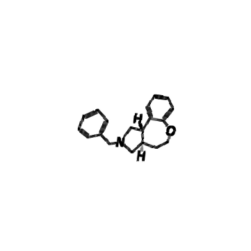 c1ccc(CN2C[C@@H]3CCOc4ccccc4[C@H]3C2)cc1